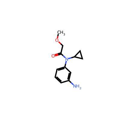 COCC(=O)N(c1cccc(N)c1)C1CC1